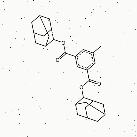 Cc1cc(C(=O)OC2C3CC4CC(C3)CC2C4)cc(C(=O)OC2C3CC4CC(C3)CC2C4)c1